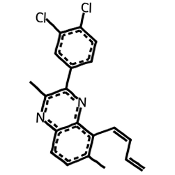 C=C/C=C\c1c(C)ccc2nc(C)c(-c3ccc(Cl)c(Cl)c3)nc12